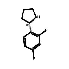 Fc1ccc([C@@H]2CCCN2)c(F)c1